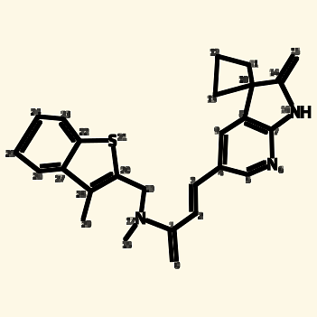 C=C(/C=C/c1cnc2c(c1)C1(CCC1)C(=C)N2)N(C)Cc1sc2ccccc2c1C